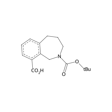 CC(C)(C)OC(=O)N1CCCc2cccc(C(=O)O)c2C1